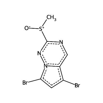 C[S+]([O-])c1ncc2c(Br)cc(Br)n2n1